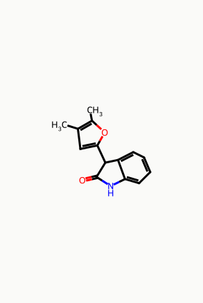 Cc1cc(C2C(=O)Nc3ccccc32)oc1C